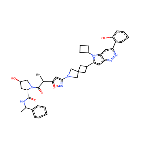 CC(NC(=O)[C@@H]1C[C@@H](O)CN1C(=O)C(c1cc(N2CC3(CC(c4cc5nnc(-c6ccccc6O)cc5n4C4CCC4)C3)C2)no1)C(C)C)c1ccccc1